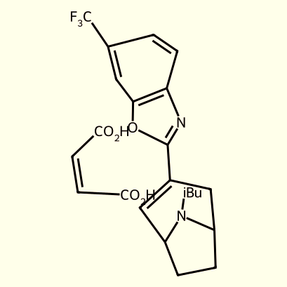 CCC(C)N1C2C=C(c3nc4ccc(C(F)(F)F)cc4o3)CC1CC2.O=C(O)/C=C\C(=O)O